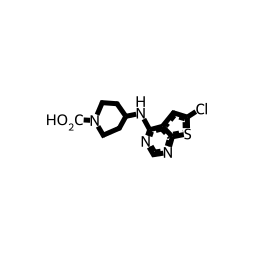 O=C(O)N1CCC(Nc2ncnc3sc(Cl)cc23)CC1